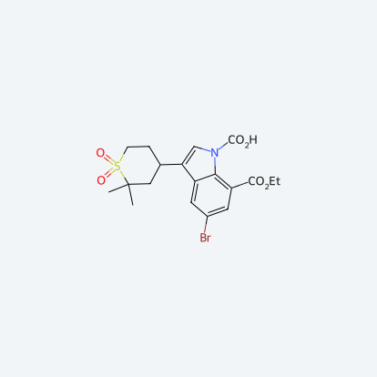 CCOC(=O)c1cc(Br)cc2c(C3CCS(=O)(=O)C(C)(C)C3)cn(C(=O)O)c12